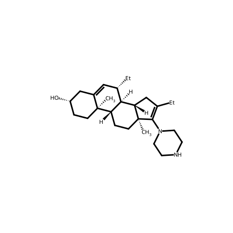 CCC1=C(N2CCNCC2)[C@@]2(C)CC[C@H]3[C@@H]([C@@H](CC)C=C4C[C@@H](O)CC[C@@]43C)[C@@H]2C1